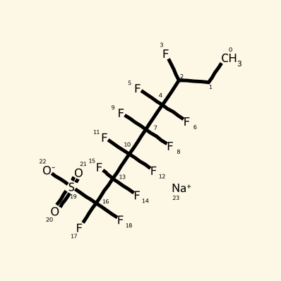 CCC(F)C(F)(F)C(F)(F)C(F)(F)C(F)(F)C(F)(F)S(=O)(=O)[O-].[Na+]